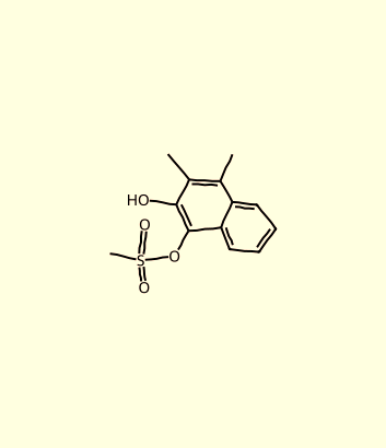 Cc1c(O)c(OS(C)(=O)=O)c2ccccc2c1C